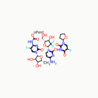 CCCCCOC(=O)Nc1nc(=O)n([C@@H]2O[C@H](C)[C@@H](O)[C@H]2O)cc1F.Nc1ccn([C@@H]2O[C@H](CO)[C@@H](O)C2(F)F)c(=O)n1.O=c1[nH]c(=O)n(C2CCCO2)cc1F